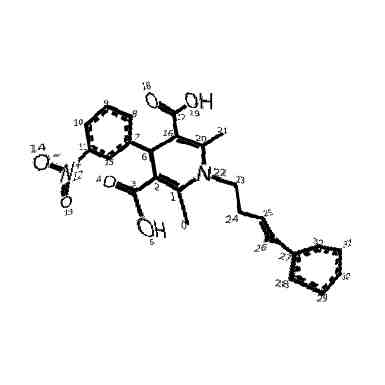 CC1=C(C(=O)O)C(c2cccc([N+](=O)[O-])c2)C(C(=O)O)=C(C)N1CCC=Cc1ccccc1